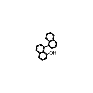 Oc1cccc2cccc(-c3cccc4ccccc34)c12